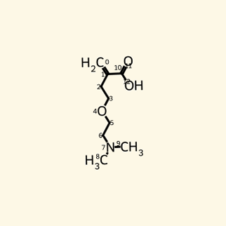 C=C(CCOCCN(C)C)C(=O)O